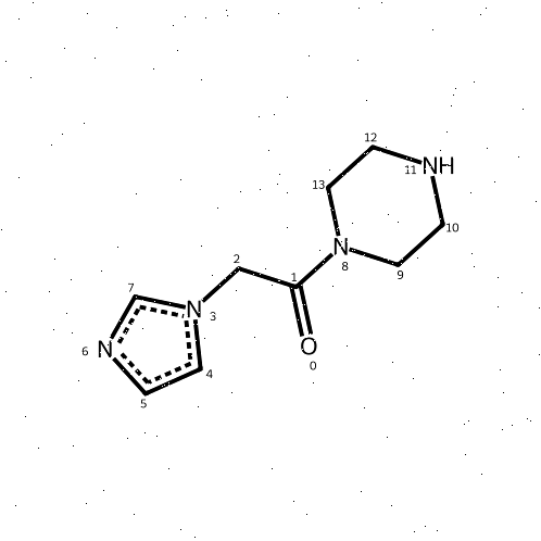 O=C(Cn1ccnc1)N1CCNCC1